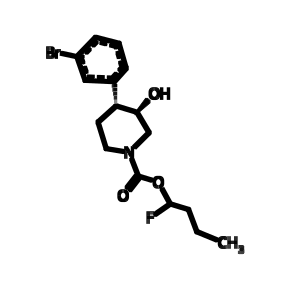 CCCC(F)OC(=O)N1CC[C@H](c2cccc(Br)c2)[C@@H](O)C1